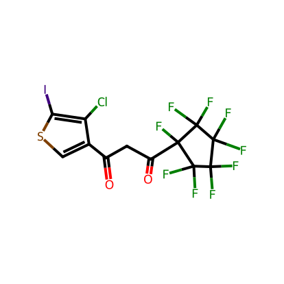 O=C(CC(=O)C1(F)C(F)(F)C(F)(F)C(F)(F)C1(F)F)c1csc(I)c1Cl